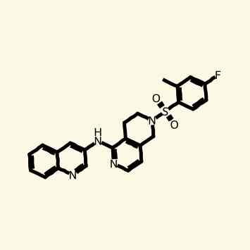 Cc1cc(F)ccc1S(=O)(=O)N1CCc2c(ccnc2Nc2cnc3ccccc3c2)C1